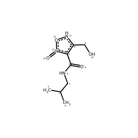 CC(C)CNC(=O)c1c(CO)[nH]o[n+]1=O